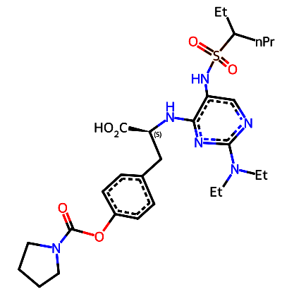 CCCC(CC)S(=O)(=O)Nc1cnc(N(CC)CC)nc1N[C@@H](Cc1ccc(OC(=O)N2CCCC2)cc1)C(=O)O